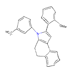 COc1ccccc1-c1cc2c(n1-c1cccc(C(=O)O)c1)CCc1ccccc1-2